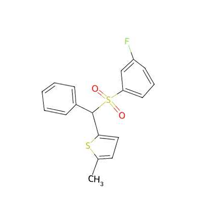 Cc1ccc(C(c2ccccc2)S(=O)(=O)c2cccc(F)c2)s1